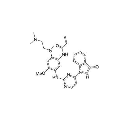 C=CC(=O)Nc1cc(Nc2nccc(-n3[nH]c(=O)c4ccccc43)n2)c(OC)cc1N(C)CCN(C)C